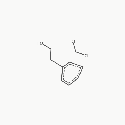 ClCCl.OCCc1ccccc1